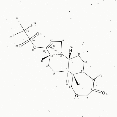 CN1C(=O)COC[C@@]2(C)C1CC[C@@H]1[C@@H]2CC[C@]2(C)C(OS(=O)(=O)C(F)(F)F)=CC[C@@H]12